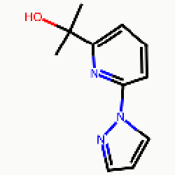 CC(C)(O)c1cccc(-n2cccn2)n1